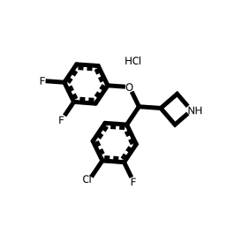 Cl.Fc1ccc(OC(c2ccc(Cl)c(F)c2)C2CNC2)cc1F